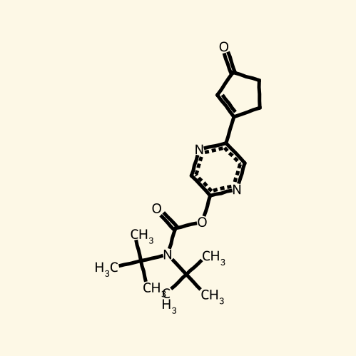 CC(C)(C)N(C(=O)Oc1cnc(C2=CC(=O)CC2)cn1)C(C)(C)C